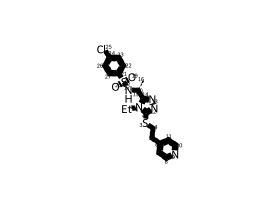 CCn1c(SCCc2ccncc2)nnc1[C@@H](C)NS(=O)(=O)c1ccc(Cl)cc1